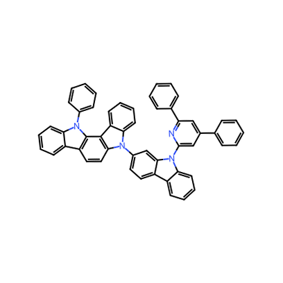 c1ccc(-c2cc(-c3ccccc3)nc(-n3c4ccccc4c4ccc(-n5c6ccccc6c6c5ccc5c7ccccc7n(-c7ccccc7)c56)cc43)c2)cc1